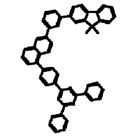 CC1(C)c2ccccc2-c2ccc(-c3cccc(-c4ccc5c(-c6ccc(-c7nc(-c8ccccc8)nc(-c8ccccc8)n7)cc6)cccc5c4)c3)cc21